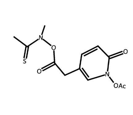 CC(=O)On1cc(CC(=O)ON(C)C(C)=S)ccc1=O